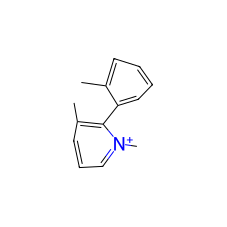 Cc1ccccc1-c1c(C)ccc[n+]1C